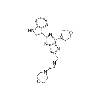 c1ccc2c(-c3nc(N4CCOCC4)c4nc(CN5CC(N6CCOCC6)C5)sc4n3)c[nH]c2c1